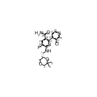 CC1(C)COC[C@H](CNc2nc(-c3c[c]ncc3Cl)c(C(N)=O)cc2F)O1